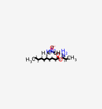 CCCCCCCCCC(=O)OC(N)CC.C[NH+](C)[O-]